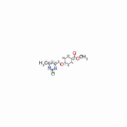 COC(=O)C1CCC(OCc2cc(C)nc(Cl)n2)CC1